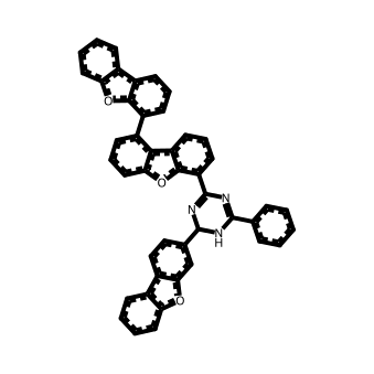 c1ccc(C2=NC(c3cccc4c3oc3cccc(-c5cccc6c5oc5ccccc56)c34)=NC(c3ccc4c(c3)oc3ccccc34)N2)cc1